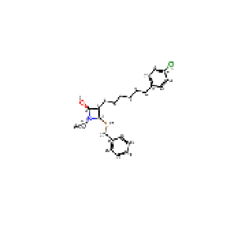 CC(=O)ON1C(=O)C(CCCCCCc2ccc(Cl)cc2)C1SCc1ccccc1